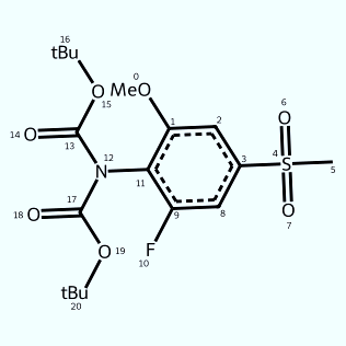 COc1cc(S(C)(=O)=O)cc(F)c1N(C(=O)OC(C)(C)C)C(=O)OC(C)(C)C